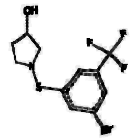 OC1CCN(Sc2cc(Br)cc(C(F)(F)F)c2)C1